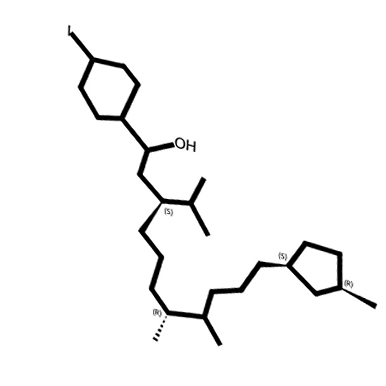 CC(C)[C@@H](CCC[C@@H](C)C(C)CCC[C@H]1CC[C@@H](C)C1)CC(O)C1CCC(I)CC1